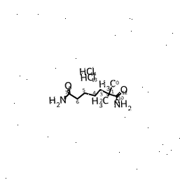 CC(C)(CCCCC(N)=O)C(N)=O.Cl.Cl